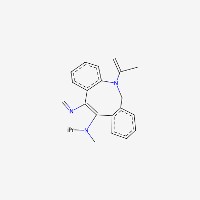 C=N/C1=C(\N(C)C(C)C)c2ccccc2CN(C(=C)C)c2ccccc21